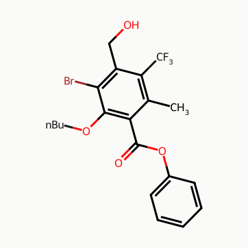 CCCCOc1c(Br)c(CO)c(C(F)(F)F)c(C)c1C(=O)Oc1ccccc1